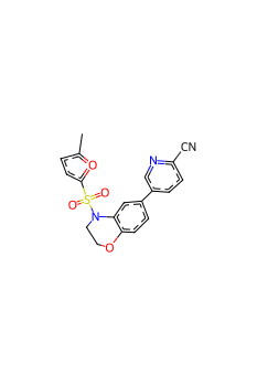 Cc1ccc(S(=O)(=O)N2CCOc3ccc(-c4ccc(C#N)nc4)cc32)o1